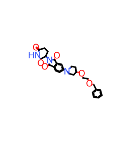 O=C1CCC(N2C(=O)c3ccc(N4CCC(OCCOCc5ccccc5)CC4)cc3C2=O)C(=O)N1